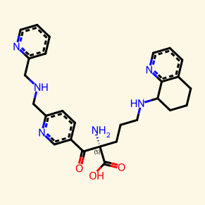 N[C@](CCCNC1CCCc2cccnc21)(C(=O)O)C(=O)c1ccc(CNCc2ccccn2)nc1